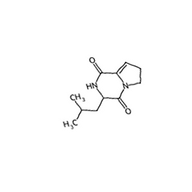 CC(C)CC1NC(=O)C2=CCCN2C1=O